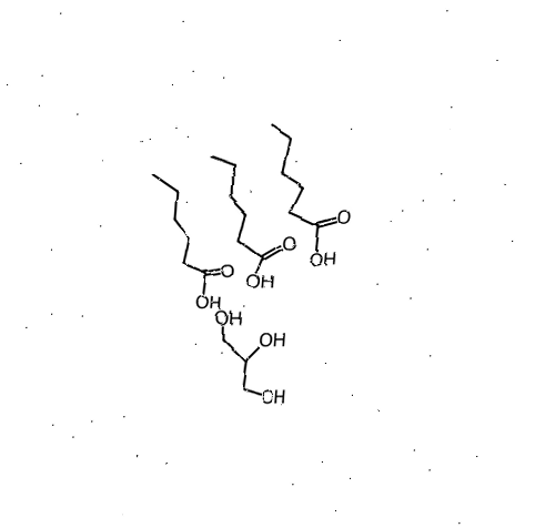 CCCCCC(=O)O.CCCCCC(=O)O.CCCCCC(=O)O.OCC(O)CO